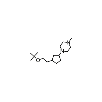 CN1CCN(C2CCC(CCOC(C)(C)C)C2)CC1